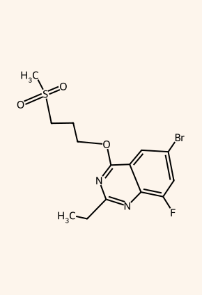 CCc1nc(OCCCS(C)(=O)=O)c2cc(Br)cc(F)c2n1